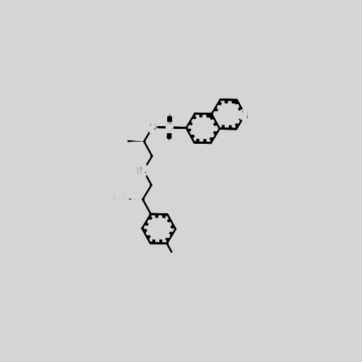 C[C@H](CNC[C@@H](O)c1ccc(F)cc1)NS(=O)(=O)c1ccc2cnccc2c1